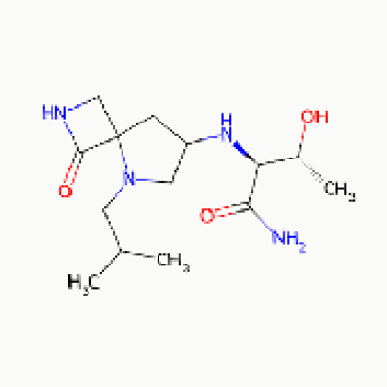 CC(C)CN1CC(N[C@H](C(N)=O)[C@@H](C)O)CC12CNC2=O